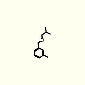 Cc1cccc(COCC(C)C)c1